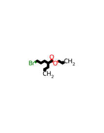 C=CCOC(=O)C(CC=C)CCCBr